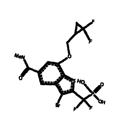 CNC(=O)c1cc(OCC2CC2(F)F)c2sc(C(F)(F)P(=O)(O)O)c(Br)c2c1